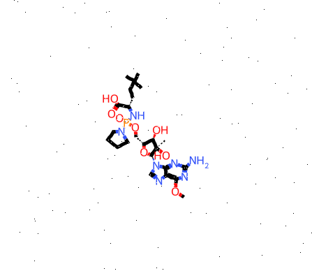 COc1nc(N)nc2c1ncn2[C@@H]1O[C@H](COP(=O)(N[C@@H](CCC(C)(C)C)C(=O)O)N2CCCC2)[C@@H](O)[C@@]1(C)O